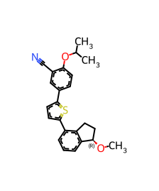 CO[C@@H]1CCc2c(-c3ccc(-c4ccc(OC(C)C)c(C#N)c4)s3)cccc21